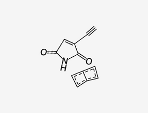 C#CC1=CC(=O)NC1=O.c1cc2ccc1-2